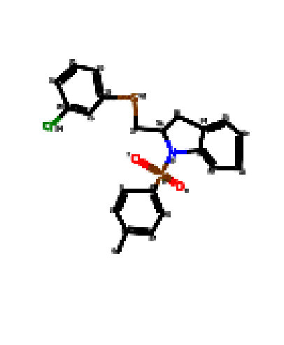 Cc1ccc(S(=O)(=O)N2c3ccccc3CC2CSc2cccc(Cl)c2)cc1